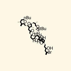 C=C(Br)C[C@H](O)CC[C@@]12C[C@H]3O[C@H]4[C@@H](O1)[C@H]1O[C@@H](CC(=O)CC5[C@H](CC6O[C@@H](CCCC)C[C@@H](C)C6=C)O[C@H](C[C@H](C)CO[Si](C)(C)C(C)(C)C)[C@@H]5C)CC[C@@H]1O[C@H]4[C@H]3O2